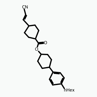 CCCCCCc1ccc(C2CCC(OC(=O)C3CCC(/C=C/C#N)CC3)CC2)cc1